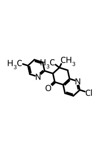 Cc1ccc(C2C(=O)c3ccc(Cl)nc3CC2(C)C)nc1